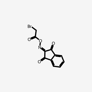 O=C(CBr)ON=c1c(=O)c2ccccc2c1=O